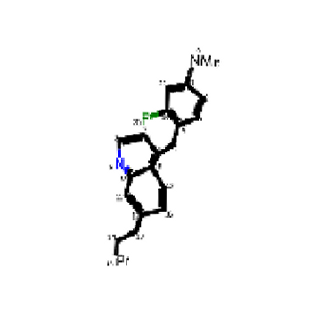 CNc1ccc(Cc2ccnc3cc(CCC(C)C)ccc23)c(F)c1